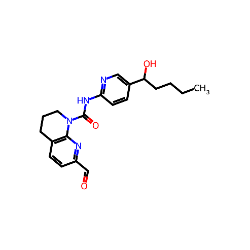 CCCCC(O)c1ccc(NC(=O)N2CCCc3ccc(C=O)nc32)nc1